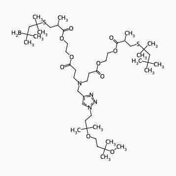 BC(C)(C)CC(C)(C)SCC(C)C(=O)OCCOC(=O)CCN(CCC(=O)OCCOC(=O)C(C)CSC(C)(C)CC(C)(C)C)Cc1cn(CCC(C)(C)OCCC(C)(C)OC)nn1